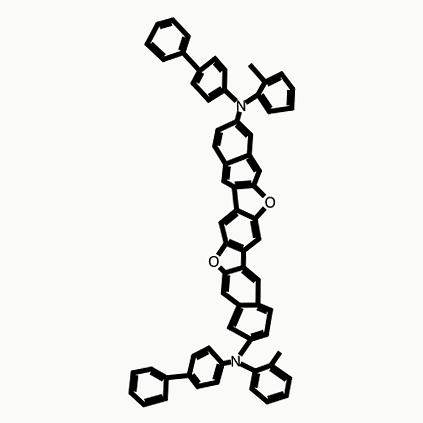 Cc1ccccc1N(c1ccc(-c2ccccc2)cc1)c1ccc2cc3c(cc2c1)oc1cc2c(cc13)oc1cc3cc(N(c4ccc(-c5ccccc5)cc4)c4ccccc4C)ccc3cc12